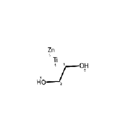 OCCO.[Ti].[Zn]